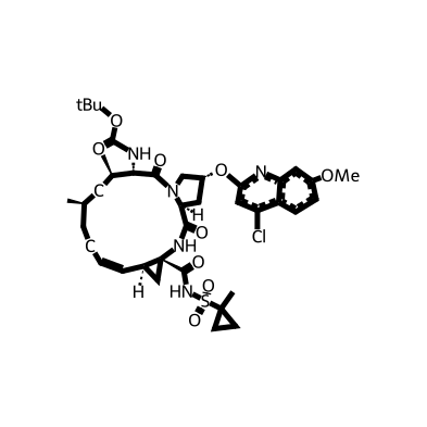 COc1ccc2c(Cl)cc(O[C@@H]3C[C@H]4C(=O)N[C@]5(C(=O)NS(=O)(=O)C6(C)CC6)C[C@H]5/C=C\CC[C@@H](C)C[C@@H](C)[C@H](NC(=O)OC(C)(C)C)C(=O)N4C3)nc2c1